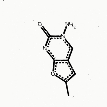 Cc1cc2cn(N)c(=O)nc2o1